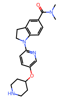 CN(C)C(=O)c1ccc2c(c1)CCN2c1ccc(OC2CCNCC2)cn1